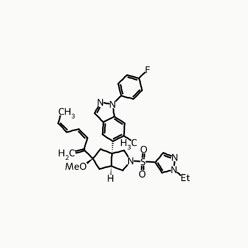 C=C(/C=C\C=C/C)[C@@]1(OC)C[C@@H]2CN(S(=O)(=O)c3cnn(CC)c3)C[C@]2(c2cc3cnn(-c4ccc(F)cc4)c3cc2C)C1